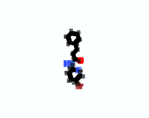 O=C(CCc1ccccc1)Nc1ccc(Br)cn1